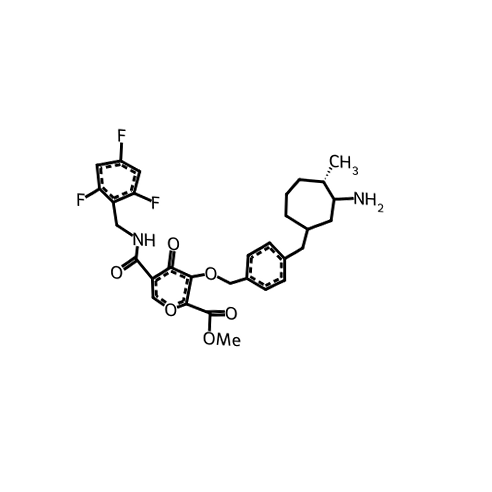 COC(=O)c1occ(C(=O)NCc2c(F)cc(F)cc2F)c(=O)c1OCc1ccc(CC2CCC[C@H](C)C(N)C2)cc1